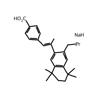 C/C(=C\c1ccc(C(=O)O)cc1)c1cc2c(cc1CC(C)C)C(C)(C)CCC2(C)C.[NaH]